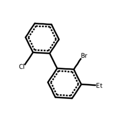 CCc1cccc(-c2ccccc2Cl)c1Br